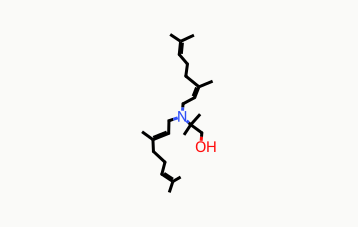 CC(C)=CCCC(C)=CCN(CC=C(C)CCC=C(C)C)C(C)(C)CO